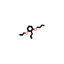 C=CCOc1cccc(OCCCC)c1CC=C